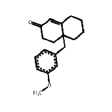 COc1cccc(CC23CCCCC2=CC(=O)CC3)c1